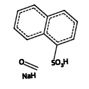 C=O.O=S(=O)(O)c1cccc2ccccc12.[NaH]